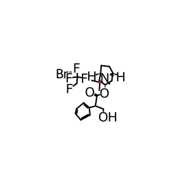 CC(C)[N+]1(C)[C@@H]2CC[C@H]1C[C@@H](OC(=O)C(CO)c1ccccc1)C2.FCC(F)(F)F.[Br-]